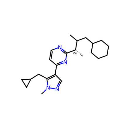 CC(CC1CCCCC1)[C@H](C)c1nccc(-c2cnn(C)c2CC2CC2)n1